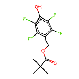 CC(C)(C)C(=O)OCc1c(F)c(F)c(O)c(F)c1F